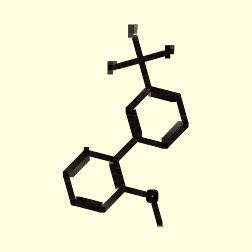 COc1ccc[c]c1-c1cccc(C(F)(F)F)c1